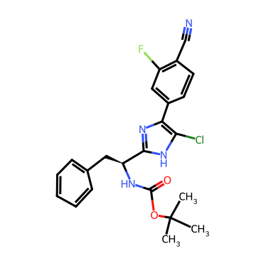 CC(C)(C)OC(=O)N[C@@H](Cc1ccccc1)c1nc(-c2ccc(C#N)c(F)c2)c(Cl)[nH]1